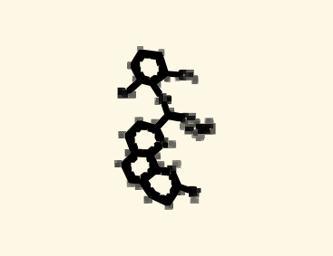 C=[C]([Fe][c]1c(C)cccc1Br)c1ccc2ccc3ccc(Br)nc3c2n1.Cl.N